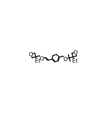 CCC1(COC=CC2=CC=C(COC(C)(C)C3(CC)COC3)CC2)COC1